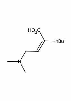 CCCCC(=CCN(C)C)C(=O)O